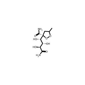 CC1C[C@](C(N)=O)([C@@H](O)[C@H](O)[C@H](O)C(N)=O)OO1